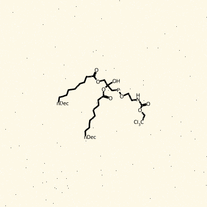 CCCCCCCCCCCCCCCCCC(=O)OCC(O)(C[P]OCCNC(=O)OCC(Cl)(Cl)Cl)OC(=O)CCCCCCCCCCCCCCCCC